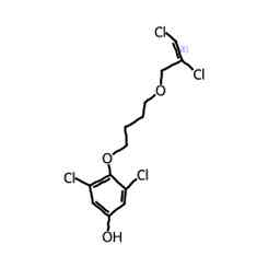 Oc1cc(Cl)c(OCCCCOC/C(Cl)=C\Cl)c(Cl)c1